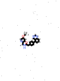 C[C@@H](NC(=O)Cc1ccc(-c2cccc3ncncc23)cc1)c1ccc(OCC(F)(F)F)cn1